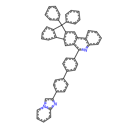 c1ccc(C2(c3ccccc3)c3ccccc3-c3cc4c(-c5ccc(-c6ccc(-c7cn8ccccc8n7)cc6)cc5)nc5ccccc5c4cc32)cc1